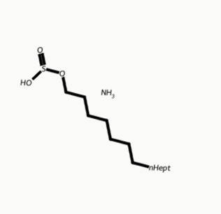 CCCCCCCCCCCCCCOS(=O)O.N